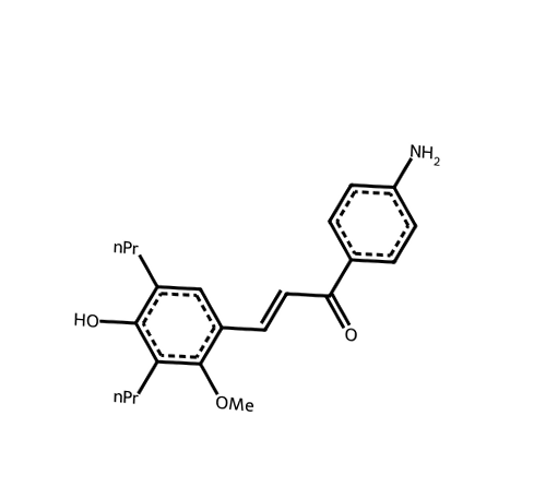 CCCc1cc(/C=C/C(=O)c2ccc(N)cc2)c(OC)c(CCC)c1O